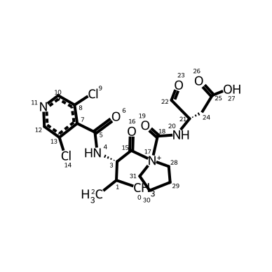 CC(C)[C@H](NC(=O)c1c(Cl)cncc1Cl)C(=O)[N+]1(C(=O)N[C@H](C=O)CC(=O)O)CCCC1